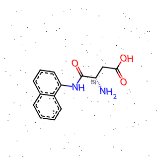 N[C@@H](CC(=O)O)C(=O)Nc1cccc2ccccc12